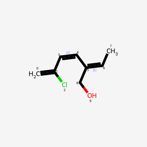 C=C(Cl)/C=C\C(=C/C)CO